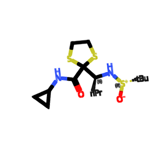 CCC[C@H](N[S@@+]([O-])C(C)(C)C)C1(C(=O)NC2CC2)SCCS1